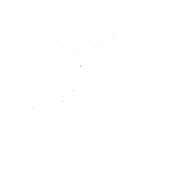 CCOc1cc(C(C)N2CCc3c(Cl)cc(Cn4ccnc4NC)cc3C2=O)ncc1C#N